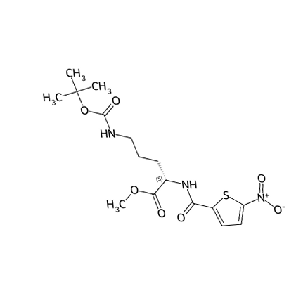 COC(=O)[C@H](CCCNC(=O)OC(C)(C)C)NC(=O)c1ccc([N+](=O)[O-])s1